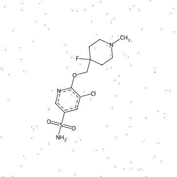 CN1CCC(F)(COc2ncc(S(N)(=O)=O)cc2Cl)CC1